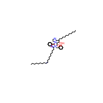 CCCCCCCC/C=C\CCCCCCCCC1=NCC[N+]1(Cc1ccccc1)C(O)C(C(C)O)[N+]1(Cc2ccccc2)CCN=C1CCCCCCCCCCCC